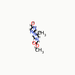 CCOC(=O)CN1CCN(c2cnc(C=O)cn2)[C@H](C)C1